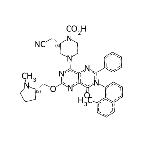 Cc1cccc2cccc(-n3c(-c4ccccc4)nc4c(N5CCN(C(=O)O)[C@@H](CC#N)C5)nc(OC[C@@H]5CCCN5C)nc4c3=O)c12